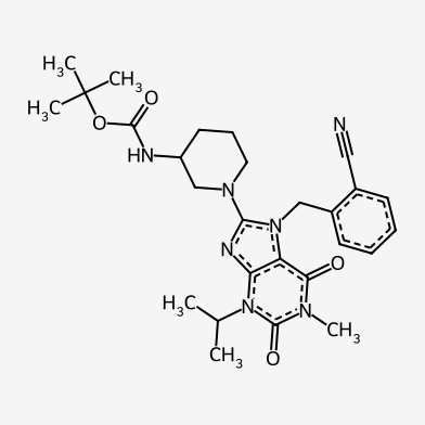 CC(C)n1c(=O)n(C)c(=O)c2c1nc(N1CCCC(NC(=O)OC(C)(C)C)C1)n2Cc1ccccc1C#N